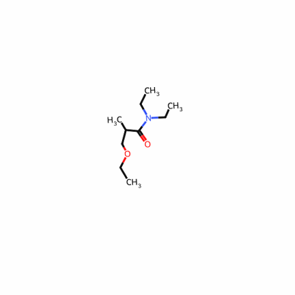 CCOCC(C)C(=O)N(CC)CC